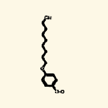 O=Cc1ccc(OCCCCCCCCO)cc1